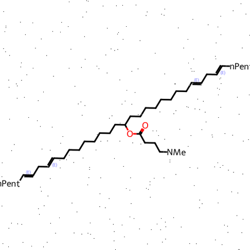 CCCCC/C=C/C/C=C/CCCCCCCCC(CCCCCCCC/C=C/C/C=C/CCCCC)OC(=O)CCCNC